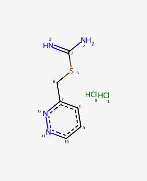 Cl.Cl.N=C(N)SCc1cccnn1